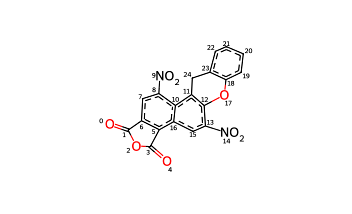 O=C1OC(=O)c2c1cc([N+](=O)[O-])c1c3c(c([N+](=O)[O-])cc21)Oc1ccccc1C3